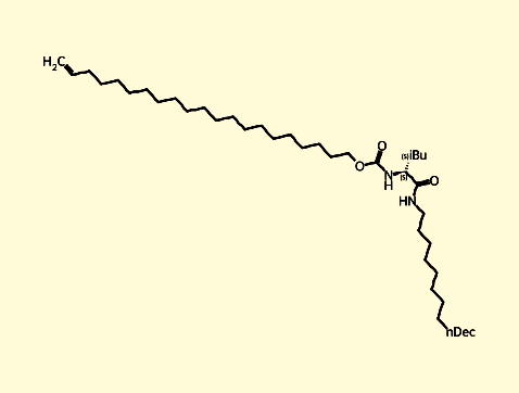 C=CCCCCCCCCCCCCCCCCCCCOC(=O)N[C@H](C(=O)NCCCCCCCCCCCCCCCCCC)[C@@H](C)CC